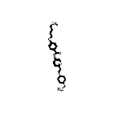 CCCCCOc1ccc(C(=O)Oc2ccc(CC[C@H]3CC[C@H](CC)CC3)nc2)cc1